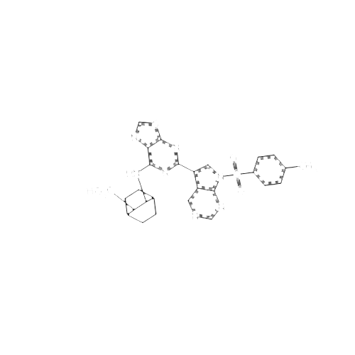 Cc1ccc(S(=O)(=O)n2cc(-c3nc(NC4C5CCC(CC5)C4C(=O)O)c4ncsc4n3)c3cncnc32)cc1